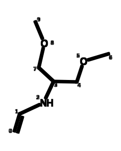 C=CNC(COC)COC